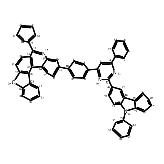 c1ccc(-c2cc(-c3ccc(-c4ccc5c(c4)nc(-c4ccccc4)c4ccc6oc7ccccc7c6c45)cc3)nc(-c3ccc4c(c3)c3ccccc3n4-c3ccccc3)n2)cc1